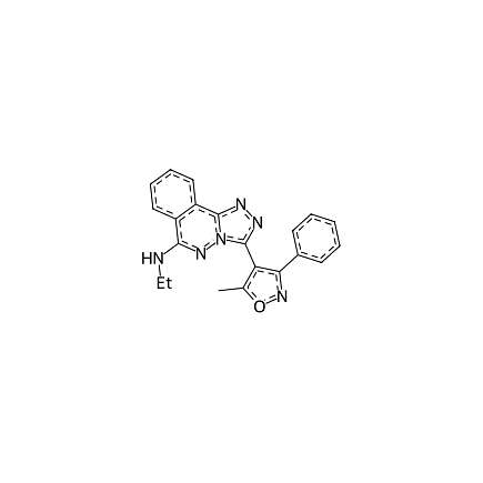 CCNc1nn2c(-c3c(-c4ccccc4)noc3C)nnc2c2ccccc12